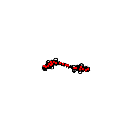 O=C(OCCCCCCCCCCCCOC(=O)c1ccc2c(c1)C(=O)N(OCc1ccccc1)C2=O)c1ccc2c(c1)C(=O)N(OCc1ccccc1)C2=O